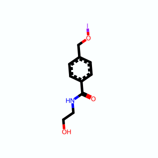 O=C(NCCO)c1ccc(COI)cc1